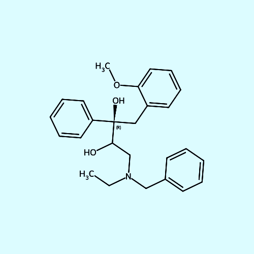 CCN(Cc1ccccc1)CC(O)[C@@](O)(Cc1ccccc1OC)c1ccccc1